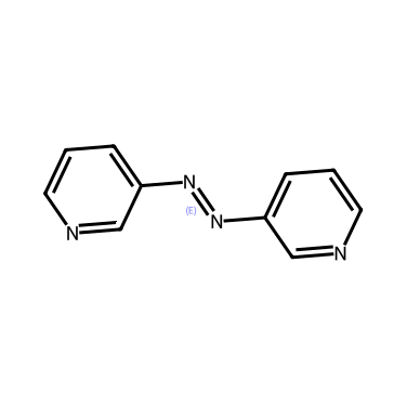 c1cncc(/N=N/c2cccnc2)c1